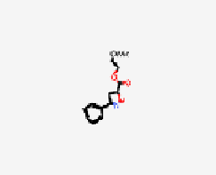 COCCOC(=O)C1CC(c2ccccc2)=NO1